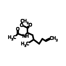 C=CCCC(C)CC(NC(C)=O)C(=O)OC